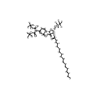 CCCCCCCCCCCCCCCCCC(=O)O[C@@H]1[C@@H](CO[Si](C)(C)C(C)(C)C)O[C@@H](n2ccc(N(C(=O)OC(C)(C)C)C(=O)OC(C)(C)C)nc2=O)C1(F)F